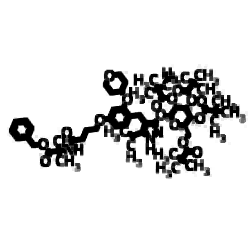 CC(C)c1[nH]nc(O[C@@H]2O[C@H](COC(=O)C(C)(C)C)[C@@H](OC(=O)C(C)(C)C)[C@H](OC(=O)C(C)(C)C)[C@H]2OC(=O)C(C)(C)C)c1Cc1ccc(OCCCC(=O)NC(C)(C)C(=O)OCc2ccccc2)cc1OC1CCOCC1